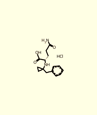 Cl.NC(=O)CC[C@H](NC1(Cc2ccccc2)CC1)C(=O)O